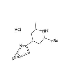 CCCCC1CC(c2cc3nc-3n2)CC(C)N1.Cl